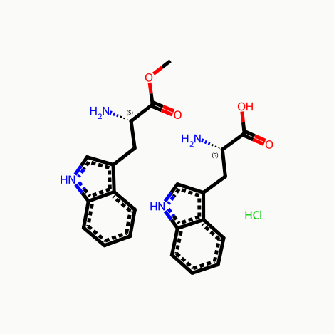 COC(=O)[C@@H](N)Cc1c[nH]c2ccccc12.Cl.N[C@@H](Cc1c[nH]c2ccccc12)C(=O)O